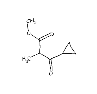 COC(=O)C(C)C(=O)C1CC1